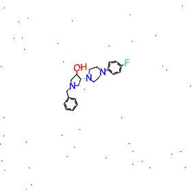 O[C@@H]1CN(Cc2ccccc2)C[C@H]1N1CCN(c2ccc(F)cc2)CC1